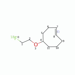 [18F]CCOC1CC/C=C/CCC1